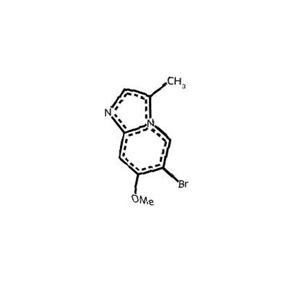 COc1cc2ncc(C)n2cc1Br